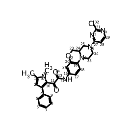 Cc1cc(-c2ccccc2)c(C(=O)C(=O)Nc2ccc3c(c2)OCC2CN(c4ccnc(Cl)n4)CCN32)n1C